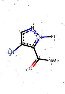 CCn1ncc(N)c1C(=O)NC